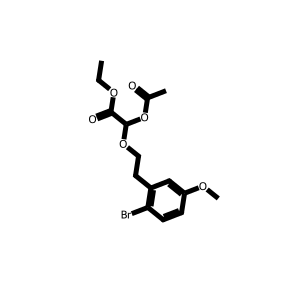 CCOC(=O)C(OCCc1cc(OC)ccc1Br)OC(C)=O